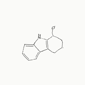 ClC1C[C]Cc2c1[nH]c1ccccc21